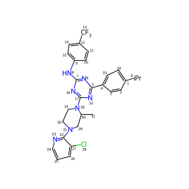 CC(C)c1ccc(-c2nc(Nc3ccc(C(F)(F)F)cc3)nc(N3CCN(c4ncccc4Cl)CC3C)n2)cc1